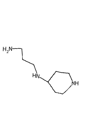 NCCCNC1CCNCC1